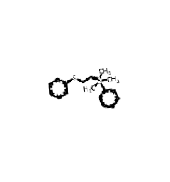 CS(C)(C)(=CCSc1ccccc1)c1ccccc1